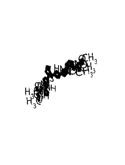 COC(=O)NC(C(=O)N1CCCC1c1ncc(-c2ccc(-c3sc(-c4ccc5nc(C6CCCN6C(=O)C(NC(=O)OC)C(C)C)[nH]c5c4)c4c3C3CCC3C4)cc2)[nH]1)C(C)C